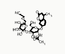 C#CCOC[C@H]1O[C@@H](O[C@H]2[C@H](O)[C@@H](NC(C)=O)[C@H](Oc3ccc4c(C)cc(=O)oc4c3)O[C@@H]2CO)[C@H](O)[C@@H](O)[C@H]1O